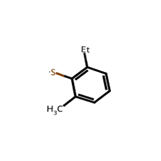 CCc1cccc(C)c1[S]